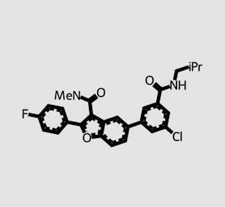 CNC(=O)c1c(-c2ccc(F)cc2)oc2ccc(-c3cc(Cl)cc(C(=O)NCC(C)C)c3)cc12